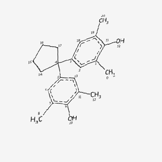 Cc1cc(C2(c3cc(C)c(O)c(C)c3)CCCC2)cc(C)c1O